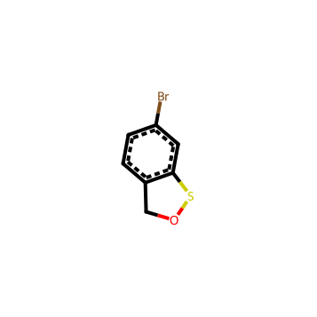 Brc1ccc2c(c1)SOC2